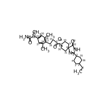 CCC1CCC(C2=NC3(CCN(S(=O)(=O)CCc4c(C)cc(N(C)C(N)=O)cc4C)CC3)C(=O)N2)CC1